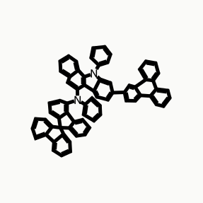 c1ccc(N(c2cccc3c2-c2ccccc2C32c3ccccc3-c3ccccc32)c2cc3ccccc3c3c2c2ccc(-c4ccc5c6ccccc6c6ccccc6c5c4)cc2n3-c2ccccc2)cc1